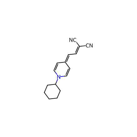 N#CC(C#N)=CC=C1C=CN(C2CCCCC2)C=C1